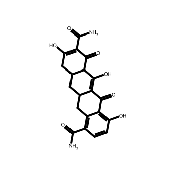 NC(=O)C1=C(O)CC2CC3Cc4c(C(N)=O)ccc(O)c4C(=O)C3=C(O)C2C1=O